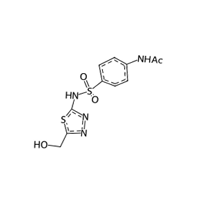 CC(=O)Nc1ccc(S(=O)(=O)Nc2nnc(CO)s2)cc1